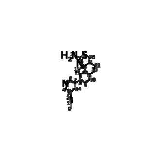 CC#Cc1cncc(-c2ccc3c(c2)C2(C)N=C(N)SCC2CC3)c1